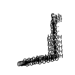 O=P(O)(O)O.O=P(O)(O)O.O=P(O)(O)O.O=P(O)(O)O.O=P(O)(O)O.O=P(O)(O)O.O=P(O)(O)O.O=P(O)(O)O.O=P([O-])([O-])O.O=P([O-])([O-])[O-].O=P([O-])([O-])[O-].O=P([O-])([O-])[O-].O=P([O-])([O-])[O-].O=P([O-])([O-])[O-].O=P([O-])([O-])[O-].[Ca+2].[Ca+2].[Ca+2].[Ca+2].[Ca+2].[Ca+2].[Ca+2].[Ca+2].[Ca+2].[Ca+2]